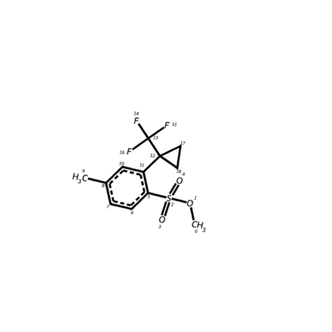 COS(=O)(=O)c1ccc(C)cc1C1(C(F)(F)F)CC1